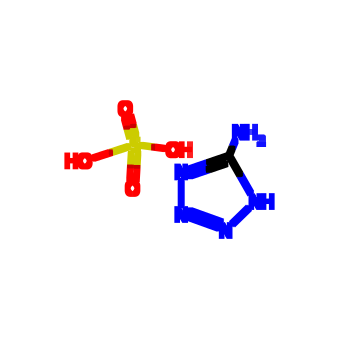 Nc1nnn[nH]1.O=S(=O)(O)O